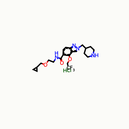 Cl.O=C(NCCOCC1CC1)c1ccc2nn(CC3CCNCC3)cc2c1OCC(F)(F)F